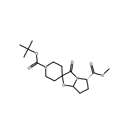 COC(=O)[C@@H]1CCC2OC3(CCN(C(=O)OC(C)(C)C)CC3)C(=O)N21